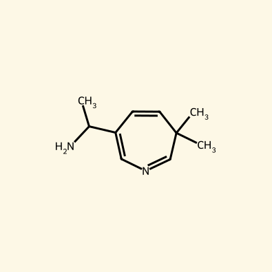 CC(N)C1=CN=CC(C)(C)C=C1